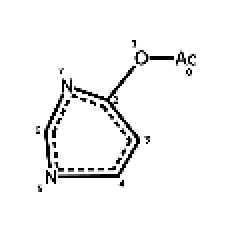 CC(=O)Oc1ccncn1